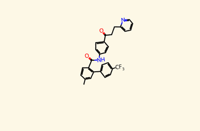 Cc1ccc(C(=O)Nc2ccc(C(=O)CCc3ccccn3)cc2)c(-c2ccc(C(F)(F)F)cc2)c1